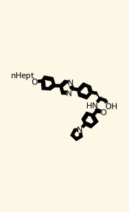 CCCCCCCOc1ccc(-c2cnc(-c3ccc(C[C@@H](CO)NC(=O)c4ccc(N5CCCC5)cc4)cc3)nc2)cc1